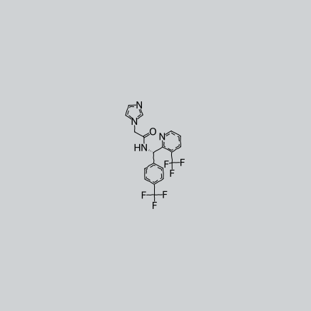 O=C(Cn1ccnc1)N[C@@H](c1ccc(C(F)(F)F)cc1)c1ncccc1C(F)(F)F